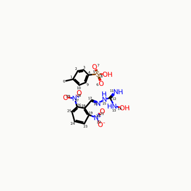 Cc1ccc(S(=O)(=O)O)cc1.N=C(NO)NN=Cc1c([N+](=O)[O-])cccc1[N+](=O)[O-]